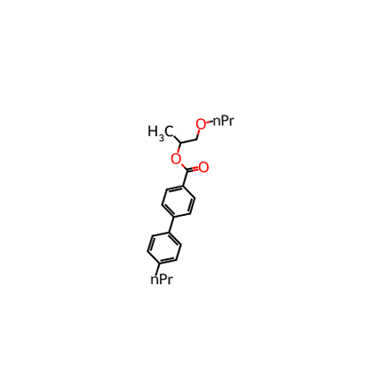 CCCOCC(C)OC(=O)c1ccc(-c2ccc(CCC)cc2)cc1